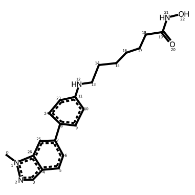 Cn1ncc2ccc(-c3ccc(NCCCCCCC(=O)NO)cc3)cc21